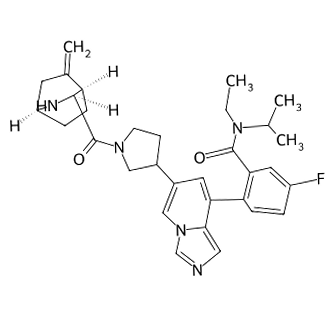 C=C1C[C@@H]2CC[C@H]1[C@@H](C(=O)N1CCC(c3cc(-c4ccc(F)cc4C(=O)N(CC)C(C)C)c4cncn4c3)C1)N2